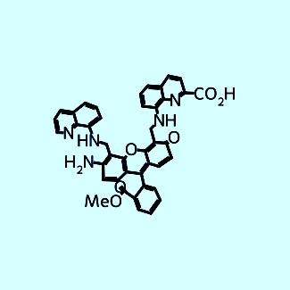 COC(=O)c1ccccc1-c1c2ccc(=O)c(CNc3cccc4ccc(C(=O)O)nc34)c-2oc2c(CNc3cccc4cccnc34)c(N)ccc12